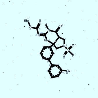 CN1C(=O)C2CN(S(C)(=O)=O)CC2(c2cccc(-c3cccc(C#N)c3)c2)N/C1=N/C(=O)OC(C)(C)C